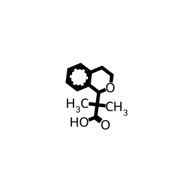 CC(C)(C(=O)O)C1OCCc2ccccc21